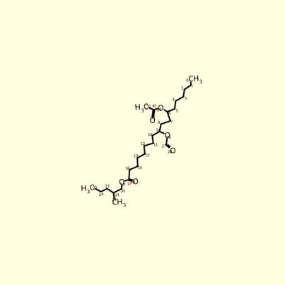 CCCCCCC(CCC(CCCCCCCC(=O)OCC(C)CCC)OC=O)OC(C)=O